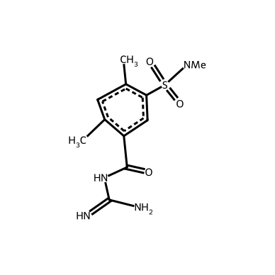 CNS(=O)(=O)c1cc(C(=O)NC(=N)N)c(C)cc1C